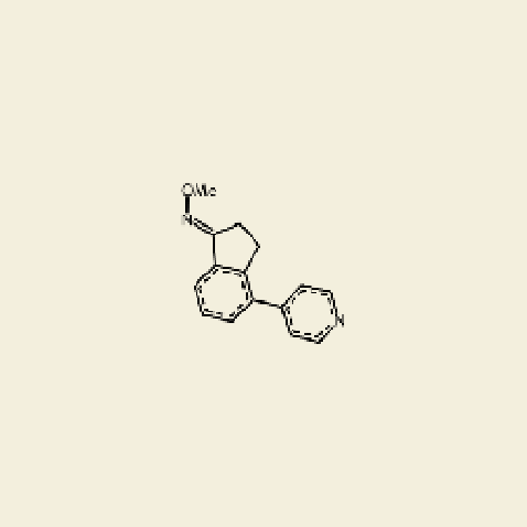 CO/N=C1\CCc2c1cccc2-c1ccncc1